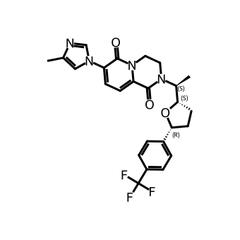 Cc1cn(-c2ccc3n(c2=O)CCN([C@@H](C)[C@@H]2CC[C@H](c4ccc(C(F)(F)F)cc4)O2)C3=O)cn1